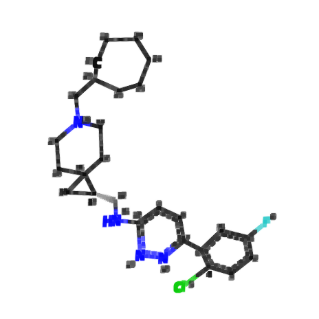 Fc1ccc(Cl)c(-c2ccc(NC[C@@H]3CC34CCN(CC3CCCCCC3)CC4)nn2)c1